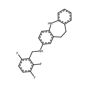 Fc1ccc(F)c(CNc2ccc3c(c2)CCc2ccccc2N3)c1F